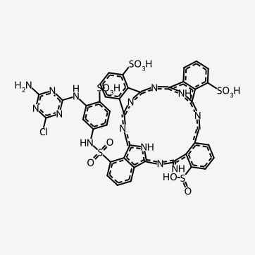 N=c1nc2[nH]c(nc3nc(nc4[nH]c(ncc5cccc(S(=O)O)c15)c1c(S(=O)(=O)O)cccc41)-c1c-3cccc1S(=O)(=O)O)c1c(S(=O)(=O)Nc3ccc(S(=O)(=O)O)c(Nc4nc(N)nc(Cl)n4)c3)cccc21